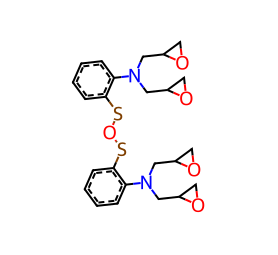 c1ccc(N(CC2CO2)CC2CO2)c(SOSc2ccccc2N(CC2CO2)CC2CO2)c1